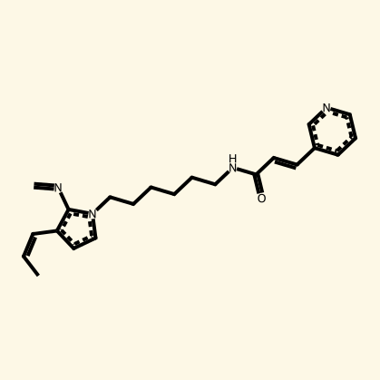 C=Nc1c(/C=C\C)ccn1CCCCCCNC(=O)/C=C/c1cccnc1